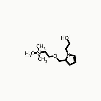 C[Si](C)(C)CCOCC1CC=CN1CCO